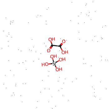 O=C(O)C(=O)O.O[Si](O)(O)O